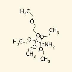 CCOCCOC(OCC)(OCC)C(N)(OCC)OCC